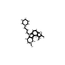 Cc1oc2ccc3c(c4c(n3CCCN3CCCCC3)CCN(C)C4)c2c1C